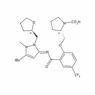 Cn1c(C(C)(C)C)cc(=NC(=O)c2cc(C(F)(F)F)ccc2OC[C@@H]2CCCN2C(=O)O)n1C[C@H]1CCCO1